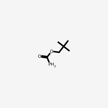 CC(C)(C)COC(=O)P